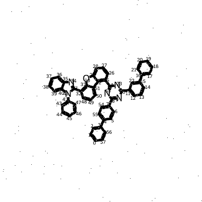 c1ccc(-c2ccc(-c3nc(-c4cccc(-c5ccccc5)c4)nc(-c4cccc5oc6c(-c7nc8ccccc8n7-c7ccccc7)cccc6c45)n3)cc2)cc1